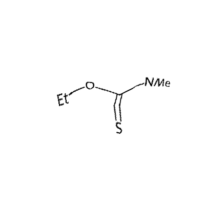 CCOC(=S)NC